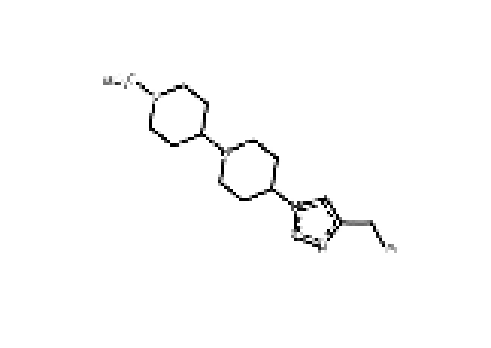 CCOC(=O)N1CCC(N2CCC(n3cc(CC(C)C)nn3)CC2)CC1